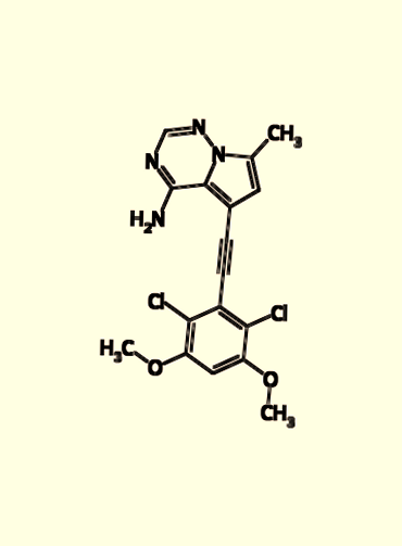 COc1cc(OC)c(Cl)c(C#Cc2cc(C)n3ncnc(N)c23)c1Cl